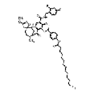 CCCCCCCCCCCCCC(=O)Oc1ccc(C(=O)Oc2c3n(cc(C(=O)NCc4ccc(F)cc4F)c2=O)[C@@H]2CN(C3=O)[C@@H](C)CC[C@]23CC(OC)=NO3)cc1